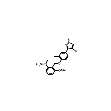 COc1cccc(N(C)N)c1COc1ccc(-c2nn(C)cc2Br)cc1C